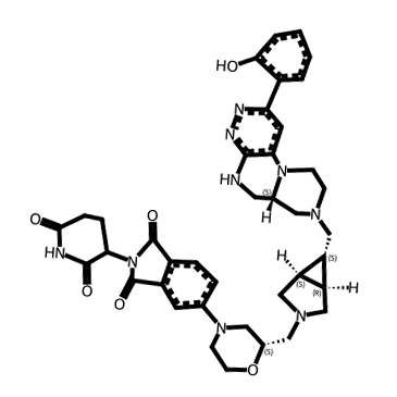 O=C1CCC(N2C(=O)c3ccc(N4CCO[C@@H](CN5C[C@@H]6[C@H](C5)[C@H]6CN5CCN6c7cc(-c8ccccc8O)nnc7NC[C@H]6C5)C4)cc3C2=O)C(=O)N1